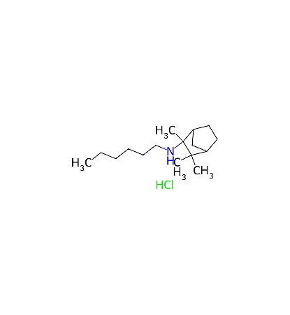 CCCCCCNC1(C)C2CCC(C2)C1(C)C.Cl